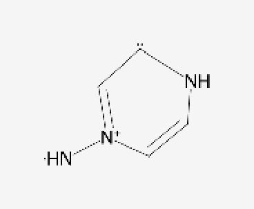 [NH][N+]1=C[C]NC=C1